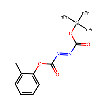 CCC[Si](CCC)(CCC)OC(=O)N=NC(=O)Oc1ccccc1C